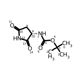 CC(C)(C)OC(=O)N[C@H]1CC(=O)NC1=O